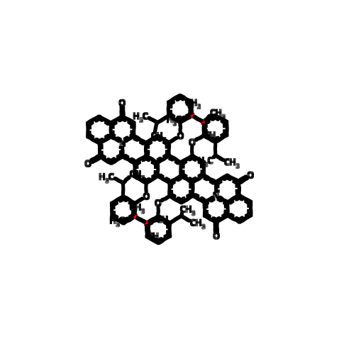 CC(C)c1cccc(C(C)C)c1Oc1cc2c3c(cc(Oc4c(C(C)C)cccc4C(C)C)c4c5c(Oc6c(C(C)C)cccc6C(C)C)cc6c7c(cc(Oc8c(C(C)C)cccc8C(C)C)c(c1c43)c57)c1cc(=O)c3cccc4c(=O)cc6n1c34)c1cc(=O)c3cccc4c(=O)cc2n1c43